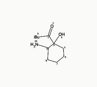 CCC(C)C(=O)C1(O)CCCCC1N